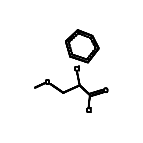 COCC(Cl)C(=O)Cl.c1ccccc1